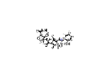 Cc1[nH]c(/C=C2\C(=O)Nc3ccc(F)cc32)c(C)c1C(=O)N[C@]1(C)CON(C(N)=O)C1=O